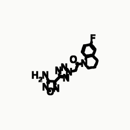 Nc1nonc1-c1nnn(CC(=O)N2CCCc3cc(F)ccc32)n1